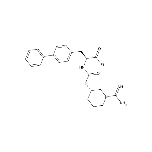 CCC(=O)[C@H](Cc1ccc(-c2ccccc2)cc1)NC(=O)C[C@H]1CCCN(C(=N)N)C1